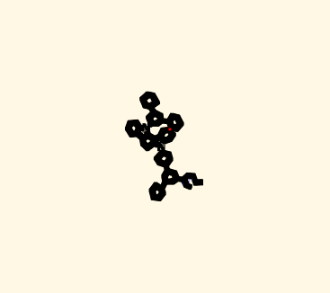 C=C/C=C\C(=C/C)c1cc(-c2ccccc2)cc(-c2ccc(-n3c4ccccc4c4c3ccc3c5ccccc5n(-c5cc(-c6ccccc6)cc(-c6ccccc6)c5)c34)cc2)c1